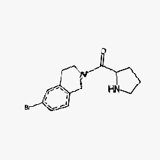 O=C(C1CCCN1)N1CCc2cc(Br)ccc2C1